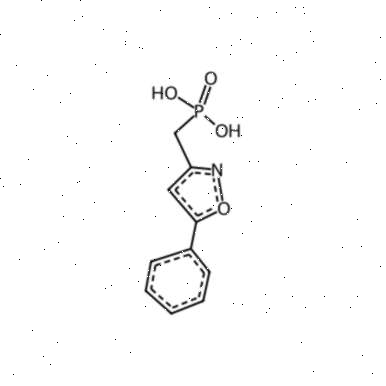 O=P(O)(O)Cc1cc(-c2ccccc2)on1